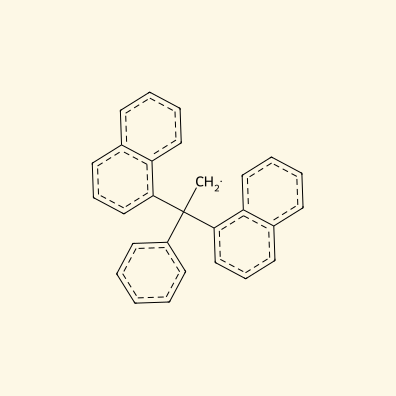 [CH2]C(c1ccccc1)(c1cccc2ccccc12)c1cccc2ccccc12